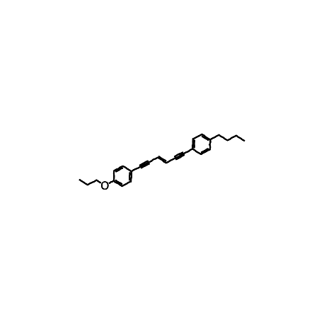 CCCCc1ccc(C#C/C=C/C#Cc2ccc(OCCC)cc2)cc1